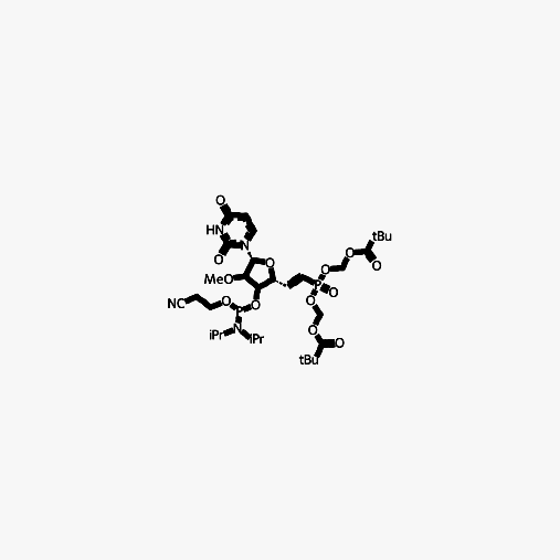 COC1C(OP(OCCC#N)N(C(C)C)C(C)C)[C@@H](/C=C/P(=O)(OCOC(=O)C(C)(C)C)OCOC(=O)C(C)(C)C)O[C@H]1n1ccc(=O)[nH]c1=O